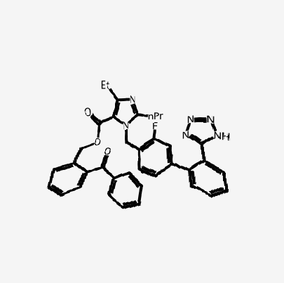 CCCc1nc(CC)c(C(=O)OCc2ccccc2C(=O)c2ccccc2)n1Cc1ccc(-c2ccccc2-c2nnn[nH]2)cc1F